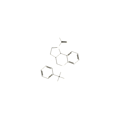 CC(C)(C)c1ccccc1[C@H]1Nc2ccccc2[C@H]2[C@@H]1CCN2C(=O)O